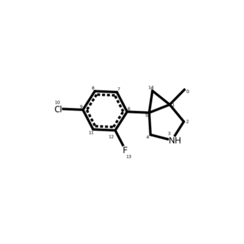 CC12CNCC1(c1ccc(Cl)cc1F)C2